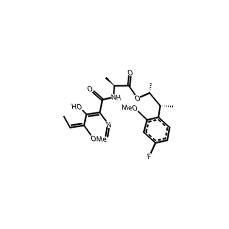 C=N/C(C(=O)N[C@@H](C)C(=O)O[C@H](C)[C@H](C)c1ccc(F)cc1OC)=C(O)\C(=C/C)OC